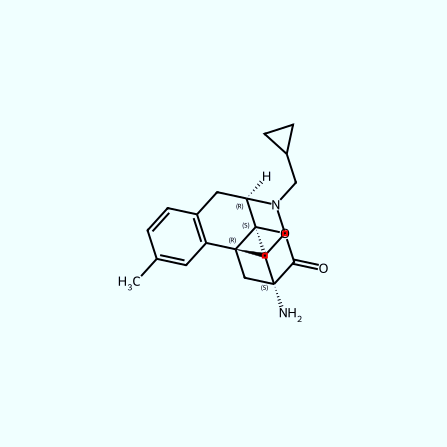 Cc1ccc2c(c1)[C@]13CCN(CC4CC4)[C@H](C2)[C@]12CC[C@](N)(C3)C(=O)O2